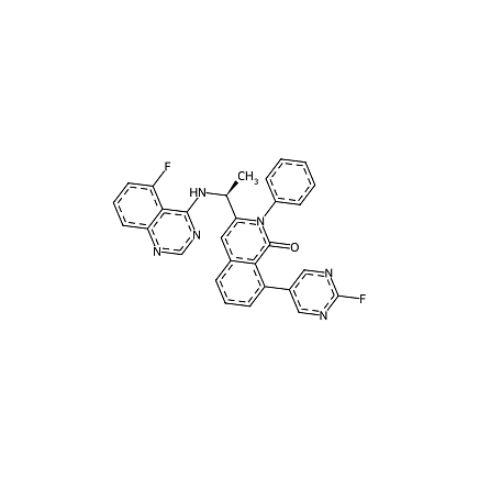 C[C@H](Nc1ncnc2cccc(F)c12)c1cc2cccc(-c3cnc(F)nc3)c2c(=O)n1-c1ccccc1